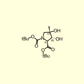 CC(C)(C)OC(=O)[C@@H]1[C@@H](O)[C@@](C)(O)CN1C(=O)OC(C)(C)C